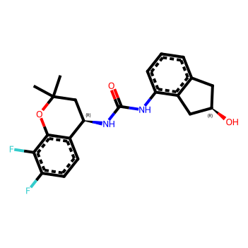 CC1(C)C[C@@H](NC(=O)Nc2cccc3c2C[C@H](O)C3)c2ccc(F)c(F)c2O1